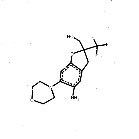 Nc1cc2c(cc1N1CCOCC1)OC(CO)(C(F)(F)F)C2